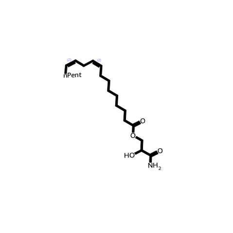 CCCCC/C=C\C/C=C\CCCCCCCC(=O)OCC(O)C(N)=O